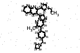 CCn1cnc(-c2nc3ncccc3cc2-c2cnc3cc(-c4ccc(CN5CCC5)cc4)c(C)nn23)c1